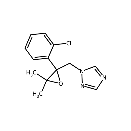 CC1(C)OC1(Cn1cncn1)c1ccccc1Cl